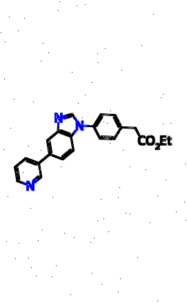 CCOC(=O)Cc1ccc(-n2cnc3cc(-c4cccnc4)ccc32)cc1